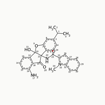 CC(C)c1ccc2c(c1)OC1(O)c3cccc(N)c3C(=O)C21NC(=O)c1cc2ccccc2n1C